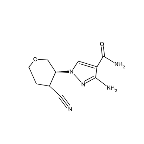 N#CC1CCOC[C@H]1n1cc(C(N)=O)c(N)n1